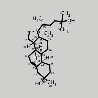 C[C@H](CCC(C)(C)O)[C@H]1CC[C@H]2[C@@H]3CC=C4C[C@@](C)(O)CC[C@@H]4[C@H]3CC[C@]12C